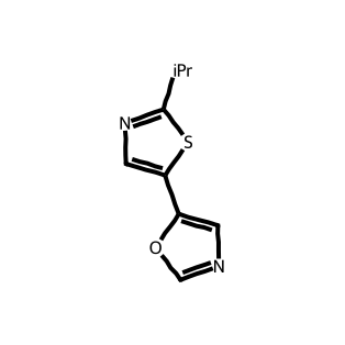 CC(C)c1ncc(-c2cnco2)s1